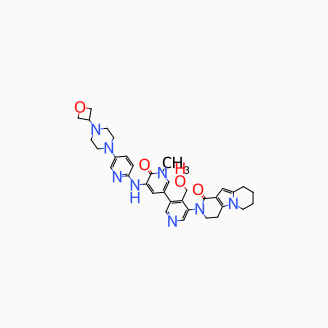 Cn1cc(-c2cncc(N3CCc4c(cc5n4CCCC5)C3=O)c2CO)cc(Nc2ccc(N3CCN(C4COC4)CC3)cn2)c1=O